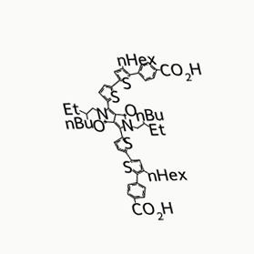 CCCCCCc1cc(-c2ccc(C3=C4C(=O)N(CC(CC)CCCC)C(c5ccc(-c6cc(CCCCCC)c(-c7ccc(C(=O)O)cc7)s6)s5)=C4C(=O)N3CC(CC)CCCC)s2)sc1-c1ccc(C(=O)O)cc1